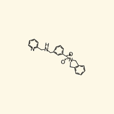 O=S(=O)(c1cccc(CNCc2ccccn2)c1)N1Cc2ccccc2C1